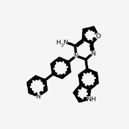 NC1=c2ccoc2=NC(c2ccc3[nH]ccc3c2)N1c1ccc(-c2cccnc2)cc1